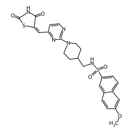 COc1ccc2cc(S(=O)(=O)NCC3CCN(c4nccc(/C=C5/SC(=O)NC5=O)n4)CC3)ccc2c1